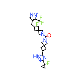 Cn1ncc(CC2CC3(C2)CN(C(=O)N2CC4(CC(c5nc(C6(F)CC6)n[nH]5)C4)C2)C3)c1C(F)(F)F